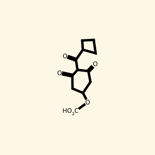 O=C(O)OC1CC(=O)C(C(=O)C2CCC2)C(=O)C1